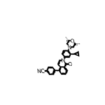 C[C@@H]1CN(c2ccc(-n3ccc4c(-c5ccc(C#N)cc5)cccc4c3=O)cc2C2CC2)C[C@H](C)O1